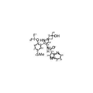 CSc1ccc(OC(F)F)c(C2NN(CC(C)(C)O)C=C2NC(=O)c2cnn3cccnc23)c1